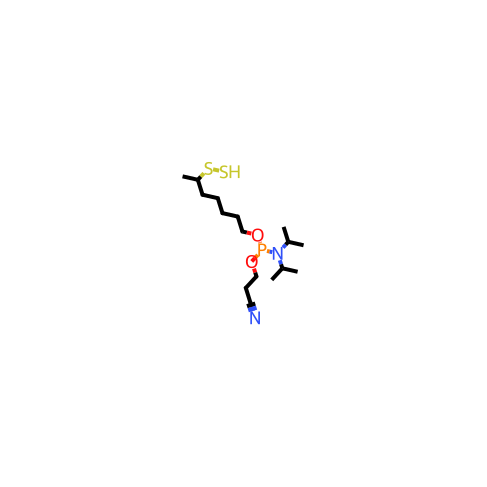 CC(CCCCCOP(OCCC#N)N(C(C)C)C(C)C)SS